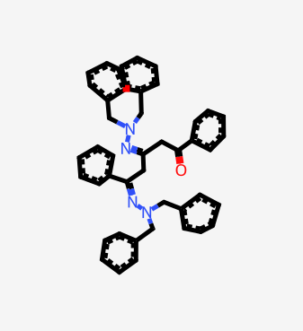 O=C(CC(CC(=NN(Cc1ccccc1)Cc1ccccc1)c1ccccc1)=NN(Cc1ccccc1)Cc1ccccc1)c1ccccc1